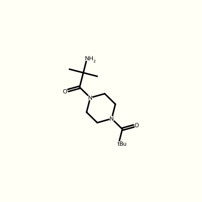 CC(C)(C)C(=O)N1CCN(C(=O)C(C)(C)N)CC1